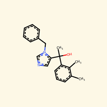 Cc1cccc(C(C)(O)c2cncn2Cc2ccccc2)c1C